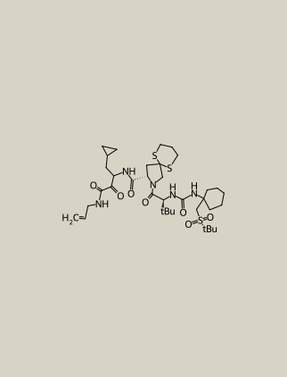 C=CCNC(=O)C(=O)C(CC1CC1)NC(=O)[C@@H]1CC2(CN1C(=O)[C@@H](NC(=O)NC1(CS(=O)(=O)C(C)(C)C)CCCCC1)C(C)(C)C)SCCCS2